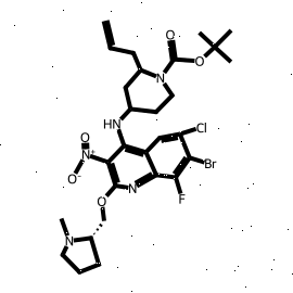 C=CCC1CC(Nc2c([N+](=O)[O-])c(OC[C@@H]3CCCN3C)nc3c(F)c(Br)c(Cl)cc23)CCN1C(=O)OC(C)(C)C